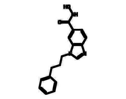 O=C(NO)c1ccc2ncn(CCCc3ccccc3)c2c1